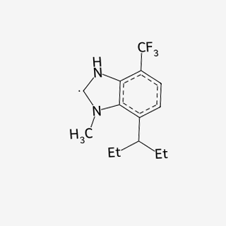 CCC(CC)c1ccc(C(F)(F)F)c2c1N(C)[CH]N2